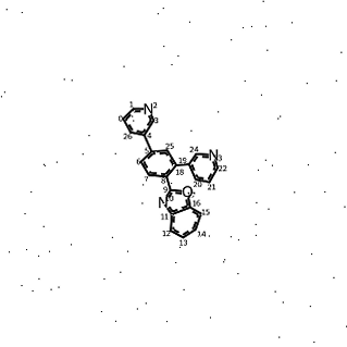 c1cncc(-c2ccc(-c3nc4ccccc4o3)c(-c3cccnc3)c2)c1